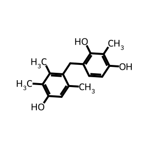 Cc1cc(O)c(C)c(C)c1Cc1ccc(O)c(C)c1O